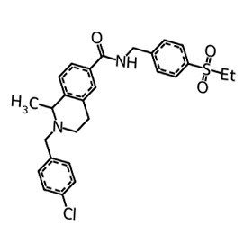 CCS(=O)(=O)c1ccc(CNC(=O)c2ccc3c(c2)CCN(Cc2ccc(Cl)cc2)C3C)cc1